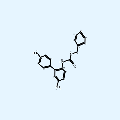 Nc1ccc(-c2cc(N)ccc2NC(=O)OCc2ccccc2)cc1